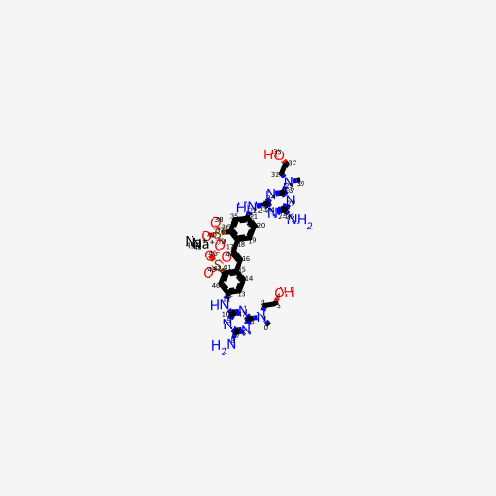 CN(CCO)c1nc(N)nc(Nc2ccc(/C=C/c3ccc(Nc4nc(N)nc(N(C)CCO)n4)cc3S(=O)(=O)[O-])c(S(=O)(=O)[O-])c2)n1.[Na+].[Na+]